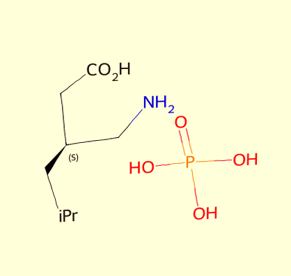 CC(C)C[C@H](CN)CC(=O)O.O=P(O)(O)O